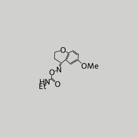 CCNC(=O)ON=C1CCOc2ccc(OC)cc21